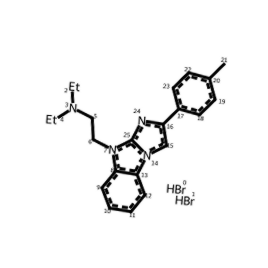 Br.Br.CCN(CC)CCn1c2ccccc2n2cc(-c3ccc(C)cc3)nc12